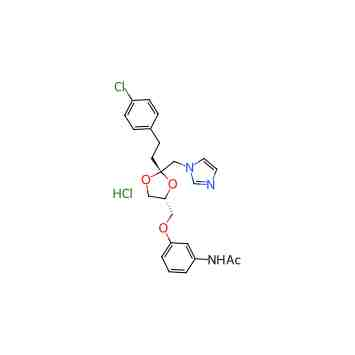 CC(=O)Nc1cccc(OC[C@@H]2CO[C@](CCc3ccc(Cl)cc3)(Cn3ccnc3)O2)c1.Cl